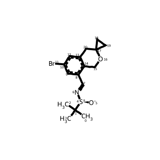 CC(C)(C)[S@+]([O-])/N=C/c1cc(Br)cc2c1COC1(CC1)C2